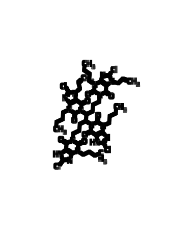 C=CCn1c(Cl)nc2c1c(=O)n(CCCC(C(CCCn1c(=O)c3[nH]c(Cl)nc3n(CCCC)c1=O)n1c(=O)c3[nH]c(Cl)nc3n(CCCC)c1=O)n1c(=O)c3c(nc(Cl)n3CC=C)n(CCCC)c1=O)c(=O)n2CCCC